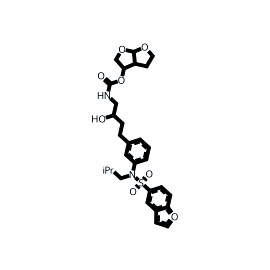 CC(C)CN(c1cccc(CCC(O)CNC(=O)OC2COC3OCCC23)c1)S(=O)(=O)c1ccc2occc2c1